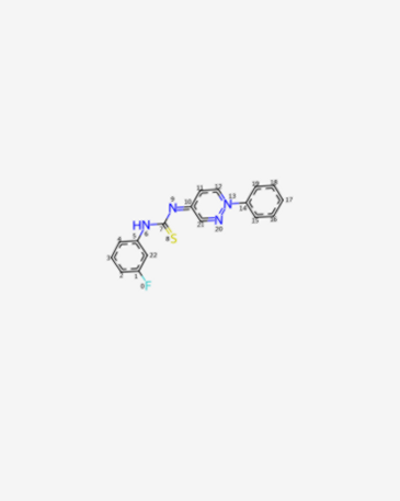 Fc1cccc(NC(=S)/N=c2/ccn(-c3ccccc3)nc2)c1